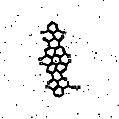 CC(C)c1cccc(C(C)C)c1N1C(=O)c2cc(Cl)c3c4c(Cl)cc5c6c(cc(Cl)c(c7c(Cl)cc(c2c37)C1=O)c64)C(=O)N(c1c(C(C)C)cccc1C(C)S(=O)(=O)O)C5=O